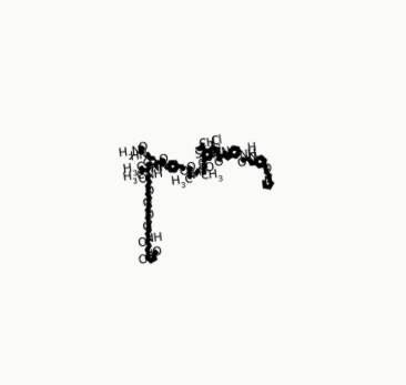 Cc1csc2c(OC(=O)N(C)CCN(C)C(=O)OCc3ccc(NC(=O)[C@H](CCCNC(N)=O)NC(=O)[C@@H](NC(=O)CCOCCOCCOCCOCCNC(=O)CCN4C(=O)C=CC4=O)C(C)C)cc3)cc3c(c12)[C@@H](CCl)CN3C(=O)c1cc2cc(NC(=O)c3cc4cc(OCCN5CCCC5)ccc4[nH]3)ccc2[nH]1